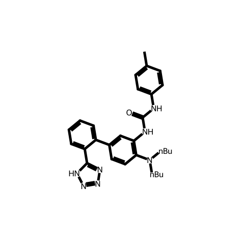 CCCCN(CCCC)c1ccc(-c2ccccc2-c2nnn[nH]2)cc1NC(=O)Nc1ccc(C)cc1